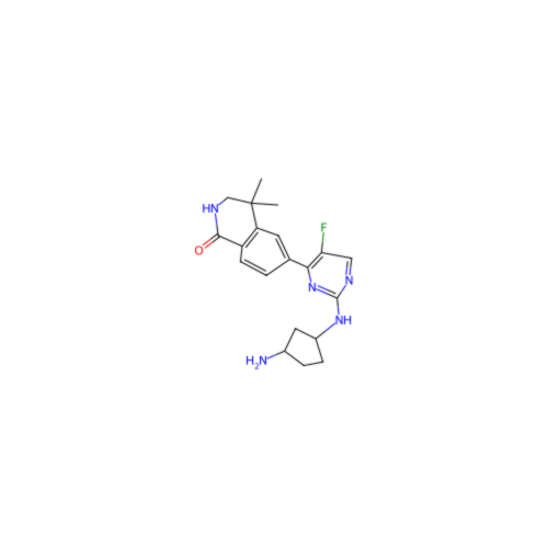 CC1(C)CNC(=O)c2ccc(-c3nc(NC4CCC(N)C4)ncc3F)cc21